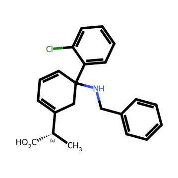 C[C@H](C(=O)O)C1=CC=CC(NCc2ccccc2)(c2ccccc2Cl)C1